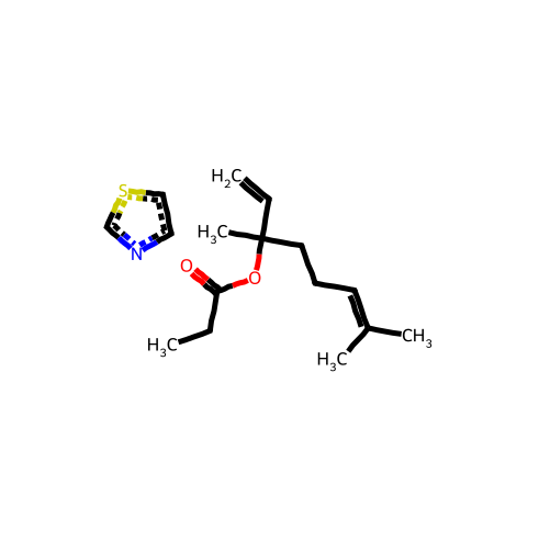 C=CC(C)(CCC=C(C)C)OC(=O)CC.c1cscn1